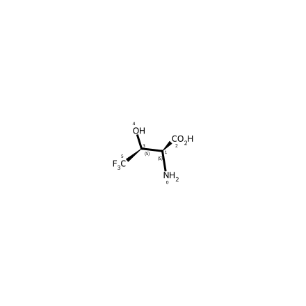 N[C@H](C(=O)O)[C@H](O)C(F)(F)F